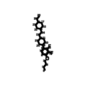 CCCCOc1ccc(C2CCC(CCC3CCC(CC)CC3)CC2)c(F)c1F